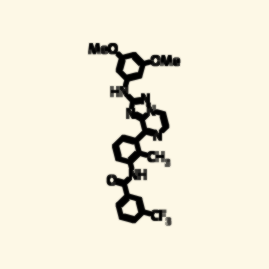 COc1cc(Nc2nc3c(-c4cccc(NC(=O)c5cccc(C(F)(F)F)c5)c4C)nccn3n2)cc(OC)c1